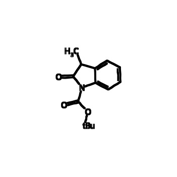 CC1C(=O)N(C(=O)OC(C)(C)C)c2ccccc21